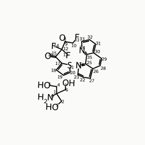 NC(CO)(CO)CO.O=C(CF)C(F)(F)C(=O)c1cccs1.c1cnc2c(c1)ccc1cccnc12